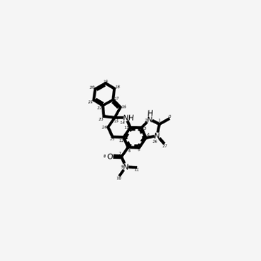 CC1Nc2c(cc(C(=O)N(C)C)c3c2NC2(C=C4CC=CC=C4C2)CC3)N1C